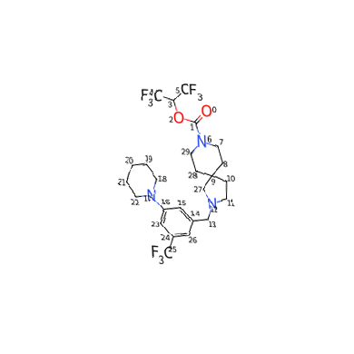 O=C(OC(C(F)(F)F)C(F)(F)F)N1CCC2(CCN(Cc3cc(N4CCCCC4)cc(C(F)(F)F)c3)C2)CC1